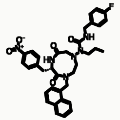 CCCN(C(=O)NCc1ccc(F)cc1)N1CCN(Cc2cccc3ccccc23)C(=O)[C@H](Cc2ccc([N+](=O)[O-])cc2)NC(=O)C1